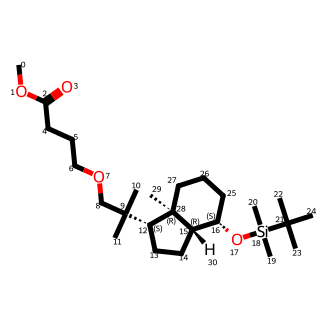 COC(=O)CCCOCC(C)(C)[C@H]1CC[C@H]2[C@@H](O[Si](C)(C)C(C)(C)C)CCC[C@]12C